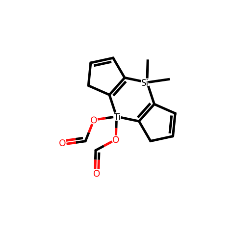 C[Si]1(C)C2=[C](CC=C2)[Ti]([O]C=O)([O]C=O)[C]2=C1C=CC2